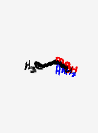 CCCCCCCCCC(=O)NC(=O)CCC(N)C(=O)O